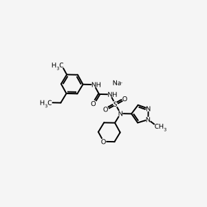 CCc1cc(C)cc(NC(=O)NS(=O)(=O)N(c2cnn(C)c2)C2CCOCC2)c1.[Na]